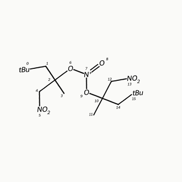 CC(C)(C)CC(C)(C[N+](=O)[O-])O[N+](=O)OC(C)(C[N+](=O)[O-])CC(C)(C)C